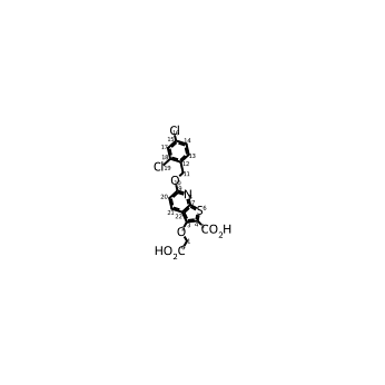 O=C(O)COc1c(C(=O)O)sc2nc(OCc3ccc(Cl)cc3Cl)ccc12